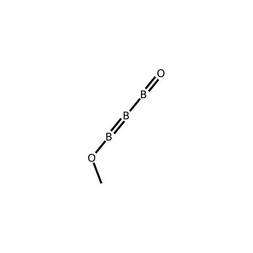 COB=BB=O